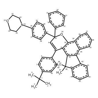 CC(C)(C)c1ccc(C2=CC(c3ccccc3)(c3ccc(N4CCOCC4)cc3)Oc3c2c2c(c4ccccc34)-c3ccccc3C2(C)C)cc1